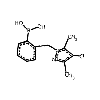 Cc1nn(Cc2ccccc2B(O)O)c(C)c1Cl